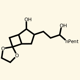 CCCCCC(O)CCC1CC2C(CC23OCCO3)C1O